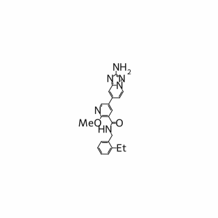 CCc1ccccc1CNC(=O)c1cc(-c2ccn3nc(N)nc3c2)cnc1OC